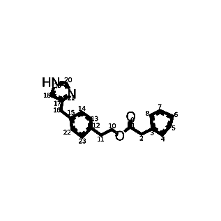 O=C(Cc1ccccc1)OCCc1ccc(Cc2c[nH]cn2)cc1